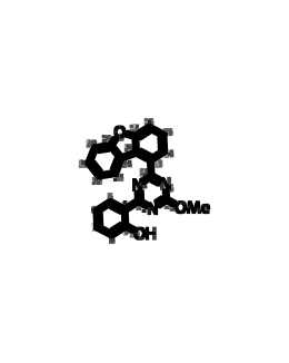 COc1nc(-c2ccccc2O)nc(-c2cccc3oc4ccccc4c23)n1